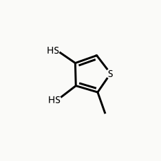 Cc1scc(S)c1S